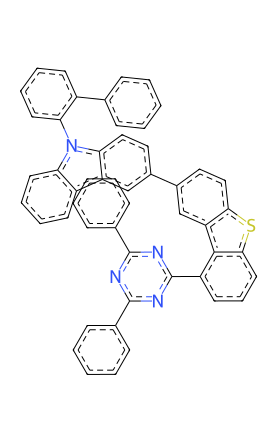 c1ccc(-c2nc(-c3ccccc3)nc(-c3cccc4sc5ccc(-c6ccc7c(c6)c6ccccc6n7-c6ccccc6-c6ccccc6)cc5c34)n2)cc1